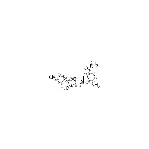 COC(=O)c1ccc(N)c(CNCC(=O)OC(C)C(=O)c2ccc(Cl)cc2)c1